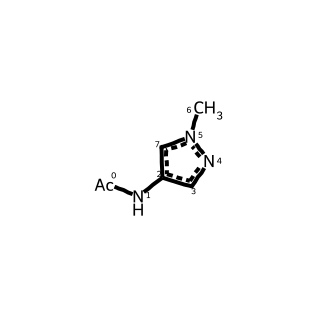 CC(=O)Nc1cnn(C)c1